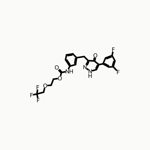 O=C(Nc1cccc(Cc2n[nH]cc(-c3cc(F)cc(F)c3)c2=O)c1)OCCOCC(F)(F)F